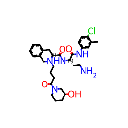 Cc1cc(NC(=O)[C@H](CCN)NC(=O)[C@@H]2Cc3ccccc3CN2CCCC(=O)N2CCCC(O)C2)ccc1Cl